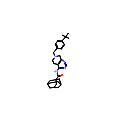 CC(C)(C)c1ccc(CN2CCc3c(ncnc3NC(=O)C34CC5CC(CC(C5)C3)C4)C2)cc1